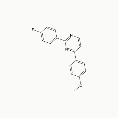 COc1ccc(-c2ccnc(-c3ccc(F)cc3)n2)cc1